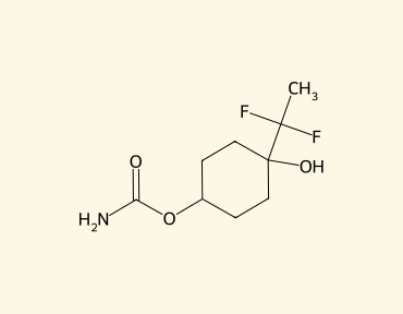 CC(F)(F)C1(O)CCC(OC(N)=O)CC1